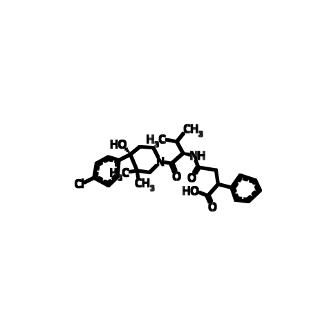 CC(C)[C@@H](NC(=O)CC(C(=O)O)c1ccccc1)C(=O)N1CC[C@](O)(c2ccc(Cl)cc2)C(C)(C)C1